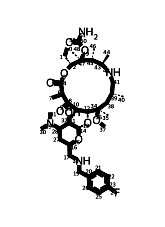 CC[C@H]1OC(=O)C(C)C(=O)[C@H](C)[C@@H](O[C@@H]2OC(CNCc3ccc(F)cc3)CC(N(C)C)C2O)[C@](C)(OC)C[C@@H](C)CN[C@H](C)[C@@H](C)[C@]1(C)OC(N)=O